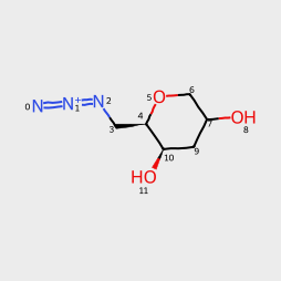 [N-]=[N+]=NC[C@H]1OCC(O)C[C@H]1O